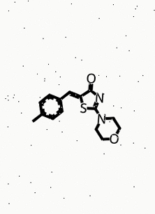 Cc1ccc(/C=C2\SC(N3CCOCC3)=NC2=O)cc1